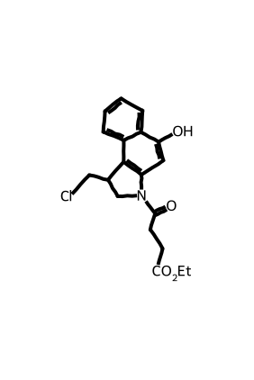 CCOC(=O)CCC(=O)N1CC(CCl)c2c1cc(O)c1ccccc21